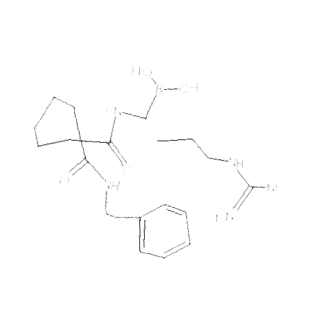 N=C(N)NCCC[C@H](NC(=O)C1(C(=O)NCc2ccccc2)CCCC1)B(O)O